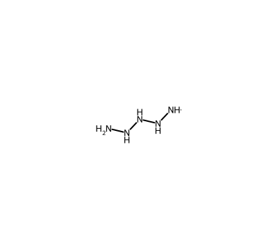 [NH]NNNN